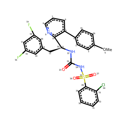 COc1ccc(-c2cccnc2[C@H](Cc2cc(F)cc(F)c2)NC(=O)NS(=O)(=O)c2ccccc2Cl)cc1